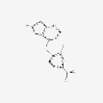 O=[N+]([O-])c1ccc(Oc2ccnc3cc(I)sc23)c(F)c1